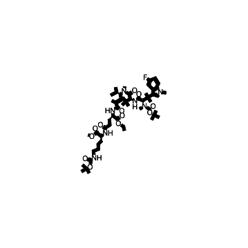 CCOC(=O)[C@@H](CCC(=O)N[C@@H](CCCCNC(=O)OC(C)(C)C)C(=O)OC)NC(=O)/C(C)=C/[C@H](C(C)C)N(C)C(=O)[C@@H](NC(=O)[C@@H](N(C)C(=O)OC(C)(C)C)C(C)(C)c1cn(C)c2ccc(F)cc12)C(C)(C)C